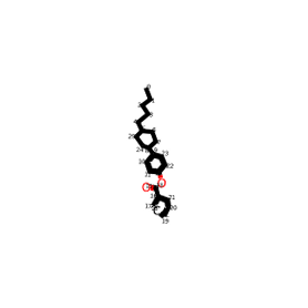 CCCCCC1CCC(c2ccc(OC(=O)c3cc[c]cc3)cc2)CC1